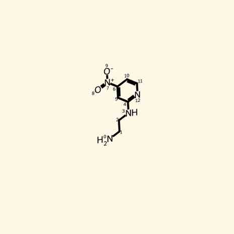 NCCNc1cc([N+](=O)[O-])ccn1